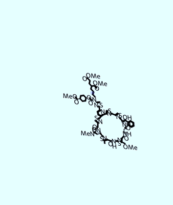 CNC(=O)C[C@@H]1NC(=O)c2csc(n2)-c2ccc(-c3nc(N(C/C=C/CC(CCC(=O)OC)C(=O)OC)C(=O)O[C@H]4CC[C@H](C(=O)OC)CC4)cs3)nc2-c2csc(n2)-c2csc(n2)[C@H]([C@@H](O)c2ccccc2)NC(=O)CNC(=O)c2nc(sc2COC)NC(=O)c2nc1sc2C